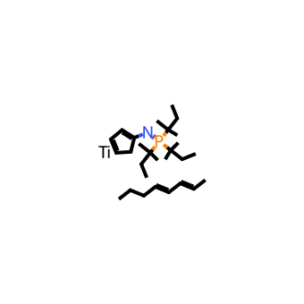 CC=CC=CCCC.CCC(C)(C)P(=NC1=CC=CC1)(C(C)(C)CC)C(C)(C)CC.[Ti]